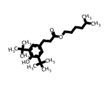 CC(C)CCCCOC(=O)CCc1cc(C(C)(C)C)c(O)c(C(C)(C)C)c1